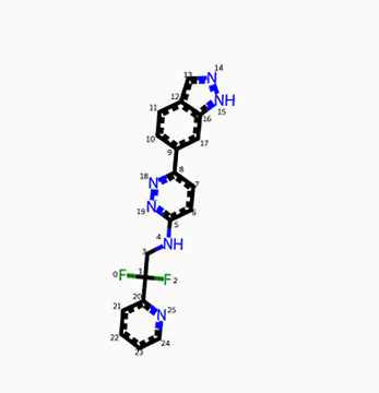 FC(F)(CNc1ccc(-c2ccc3cn[nH]c3c2)nn1)c1ccccn1